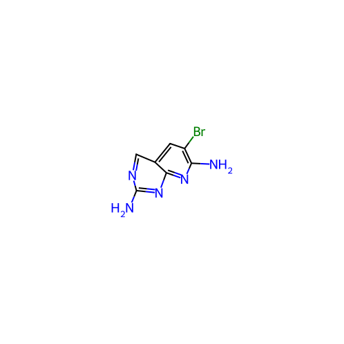 Nc1ncc2cc(Br)c(N)nc2n1